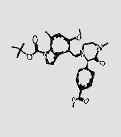 COC(=O)c1ccc([C@@H]2C(=O)N(C)CCN2Cc2c(OC)cc(C)c3c2ccn3C(=O)OC(C)(C)C)cc1